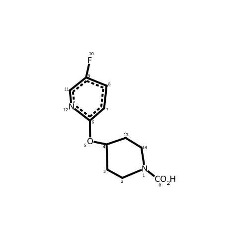 O=C(O)N1CCC(Oc2ccc(F)cn2)CC1